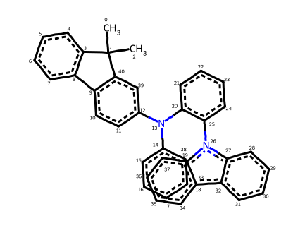 CC1(C)c2ccccc2-c2ccc(N(c3ccccc3)c3ccccc3-n3c4ccccc4c4ccccc43)cc21